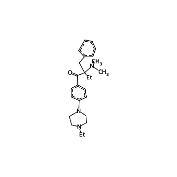 CCN1CCN(c2ccc(C(=O)C(CC)(Cc3ccccc3)N(C)C)cc2)CC1